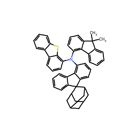 CC1(C)c2ccccc2-c2c(N(c3cccc4c3-c3ccccc3C43C4CC5CC(C4)CC3C5)c3cccc4c3sc3ccccc34)cccc21